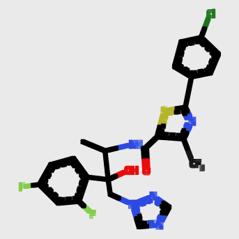 CC(NC(=O)c1sc(-c2ccc(Cl)cc2)nc1C(F)(F)F)C(O)(Cn1cncn1)c1ccc(F)cc1F